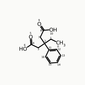 CCC(CC(=O)O)(CC(=O)O)c1ccccc1